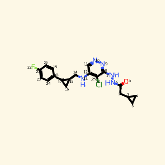 O=C(CC1CC1)NNc1nncc(NCC2CC2c2ccc(F)cc2)c1Cl